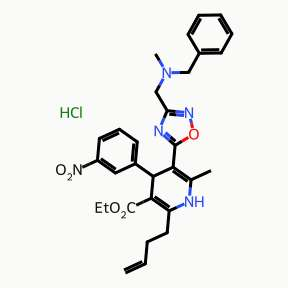 C=CCCC1=C(C(=O)OCC)C(c2cccc([N+](=O)[O-])c2)C(c2nc(CN(C)Cc3ccccc3)no2)=C(C)N1.Cl